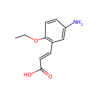 CCOc1ccc(N)cc1/C=C/C(=O)O